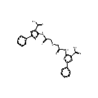 O=C(COCC(=O)Nc1sc(-c2ccccc2)cc1C(=O)O)Nc1sc(-c2ccccc2)cc1C(=O)O